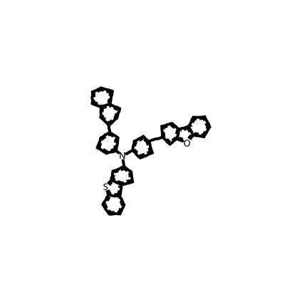 c1cc(-c2ccc3ccccc3c2)cc(N(c2ccc(-c3ccc4c(c3)oc3ccccc34)cc2)c2ccc3c(c2)sc2ccccc23)c1